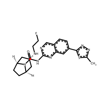 Cc1nnc(-c2ccc3cnc(NC(=O)N4[C@@H]5CC[C@H]4C[C@H](NCCF)C5)nc3c2)s1